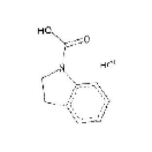 Cl.O=C(O)N1CCc2ccccc21